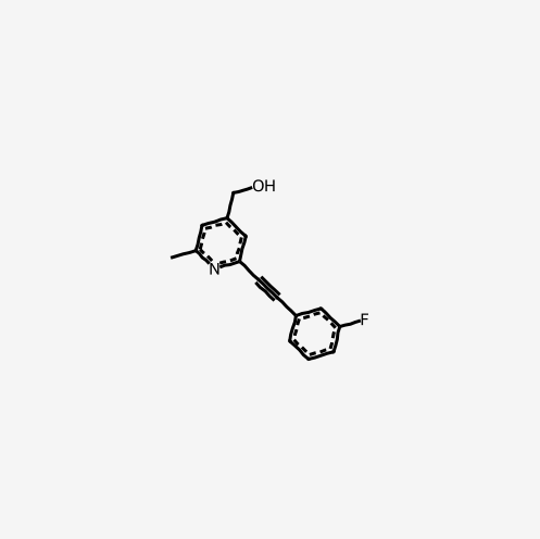 Cc1cc(CO)cc(C#Cc2cccc(F)c2)n1